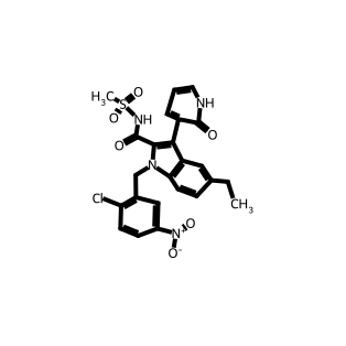 CCc1ccc2c(c1)c(-c1ccc[nH]c1=O)c(C(=O)NS(C)(=O)=O)n2Cc1cc([N+](=O)[O-])ccc1Cl